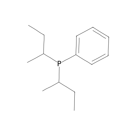 CCC(C)P(c1ccccc1)C(C)CC